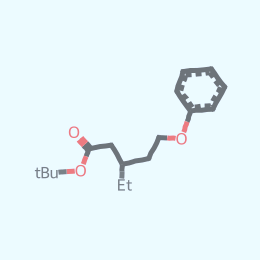 CCC(CCOc1ccccc1)CC(=O)OC(C)(C)C